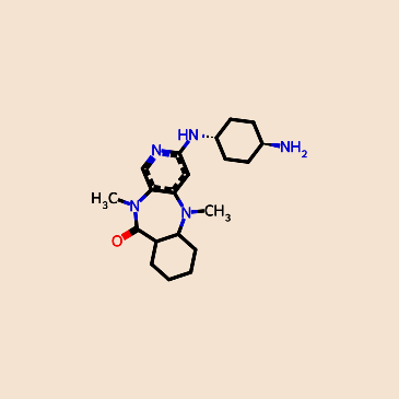 CN1C(=O)C2CCCCC2N(C)c2cc(N[C@H]3CC[C@H](N)CC3)ncc21